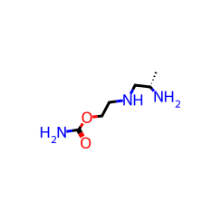 C[C@H](N)CNCCOC(N)=O